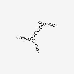 C=Cc1ccc(COCCc2ccc(N(c3ccccc3)c3ccc(COCCOCc4ccc(N(c5ccc(CCOCc6ccc(C=C)cc6)cc5)c5ccc(CCOCc6ccc(C=C)cc6)cc5)cc4)cc3)cc2)cc1